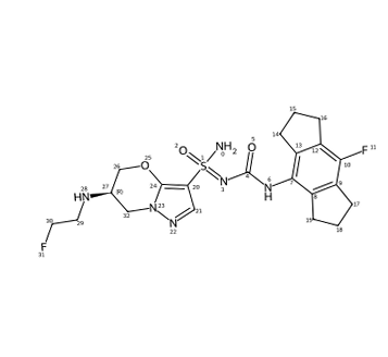 NS(=O)(=NC(=O)Nc1c2c(c(F)c3c1CCC3)CCC2)c1cnn2c1OC[C@H](NCCF)C2